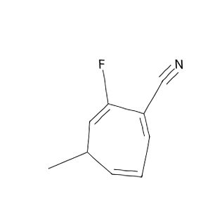 CC1C=CC=C(C#N)C(F)=C1